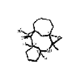 CC1(C)N[C@@H]2CCC[C@@H]2C(=O)C2(NO)CCCC[C@H]1C2